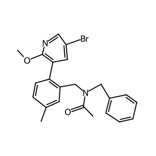 COc1ncc(Br)cc1-c1ccc(C)cc1CN(Cc1ccccc1)C(C)=O